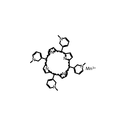 CN1C=CC=C(c2c3nc(c(C4=CC=CN(C)C4)c4ccc([nH]4)c(C4=CC=CN(C)C4)c4nc(c(C5=CC=CN(C)C5)c5ccc2[nH]5)C=C4)C=C3)C1.[Mn+3]